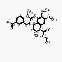 CCOC(=O)N1c2cc(OC)c(OC)cc2[C@@H](N(Cc2cccc(C(=O)O)c2)C(=O)OC)C[C@H]1C